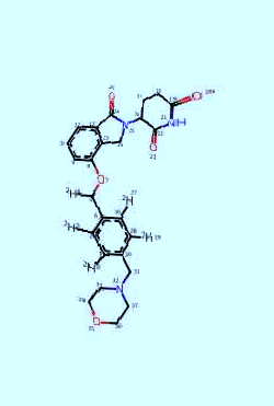 [2H]c1c([2H])c(C([2H])Oc2cccc3c2CN(C2CCC(=O)NC2=O)C3=O)c([2H])c([2H])c1CN1CCOCC1